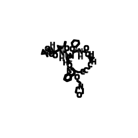 C=C[C@@H]1C[C@]1(NC(=O)[C@@H]1C[C@@H]2CN1C(=O)[C@H](C1CCCCC1)NC(=O)O[C@@H]1C[C@H]1CCCCCc1c(nc3ccccc3c1OCCN1CCOCC1)O2)C(=O)NS(=O)(=O)C1(C)CC1